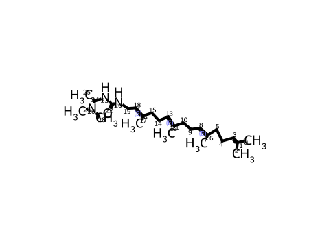 CC(C)=CCC/C(C)=C/CC/C(C)=C/CC/C(C)=C/CNC(=O)NC(C)N(C)C